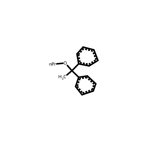 CC[CH]OC(C)(c1ccccc1)c1ccccc1